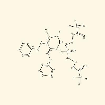 C[C@@H]1O[C@H](CP(=O)(OCOC(=O)C(C)(C)C)OCOC(=O)C(C)(C)C)[C@@H](OCc2ccccc2)C(OCc2ccccc2)[C@@H]1C